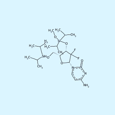 CO[Si](O[C@H]1[C@@H](CO[SiH](C(C)C)C(C)C)O[C@@H](n2ccc(N)nc2=O)C1(F)F)(C(C)C)C(C)C